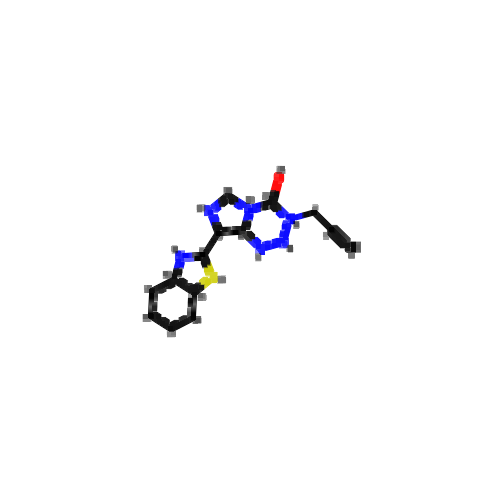 C#CCn1nnc2c(-c3nc4ccccc4s3)ncn2c1=O